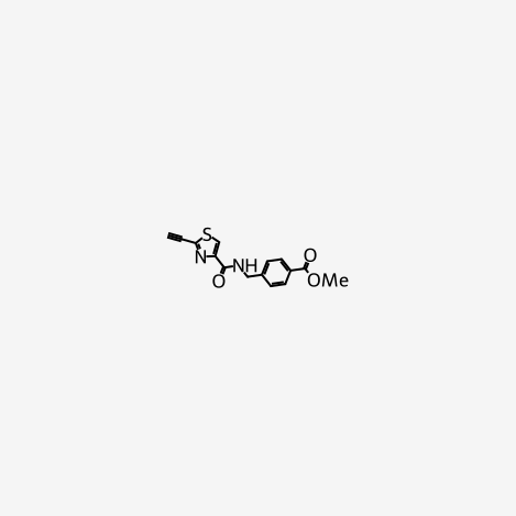 C#Cc1nc(C(=O)NCc2ccc(C(=O)OC)cc2)cs1